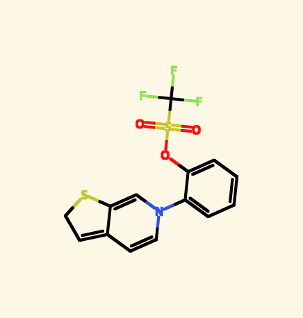 O=S(=O)(Oc1ccccc1N1C=CC2=CCSC2=C1)C(F)(F)F